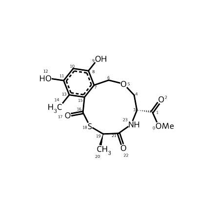 COC(=O)[C@H]1COCc2c(O)cc(O)c(C)c2C(=O)S[C@H](C)C(=O)N1